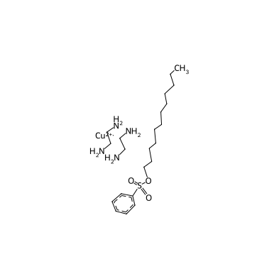 CCCCCCCCCCCCOS(=O)(=O)c1ccccc1.NCCN.NCCN.[Cu+2]